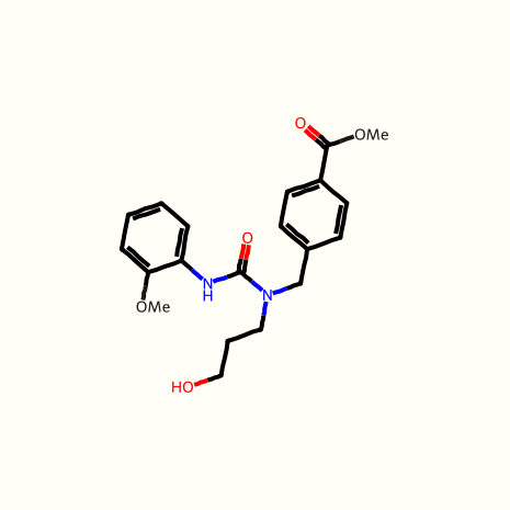 COC(=O)c1ccc(CN(CCCO)C(=O)Nc2ccccc2OC)cc1